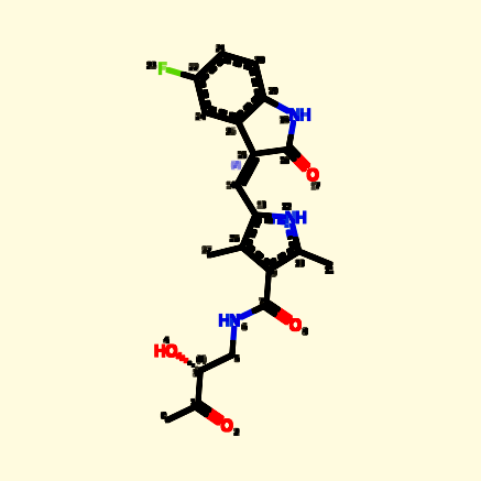 CC(=O)[C@H](O)CNC(=O)c1c(C)[nH]c(/C=C2\C(=O)Nc3ccc(F)cc32)c1C